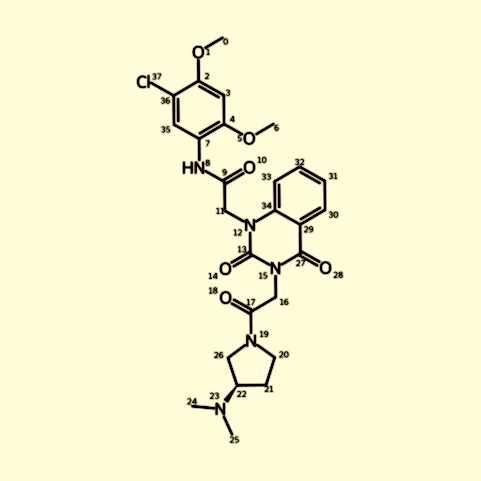 COc1cc(OC)c(NC(=O)Cn2c(=O)n(CC(=O)N3CC[C@@H](N(C)C)C3)c(=O)c3ccccc32)cc1Cl